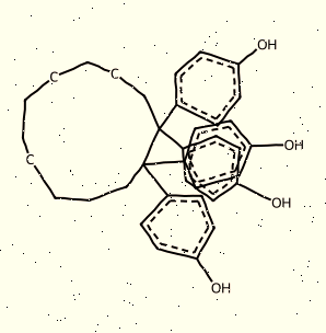 Oc1ccc(C2(c3ccc(O)cc3)CCCCCCCCCCC2(c2ccc(O)cc2)c2ccc(O)cc2)cc1